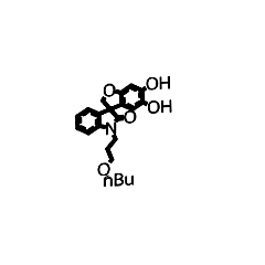 CCCCOCCCN1C(=O)C2(COc3cc(O)c(O)cc32)c2ccccc21